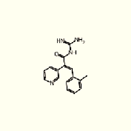 Cc1ccccc1/C=C(/C(=O)NC(=N)N)c1cccnc1